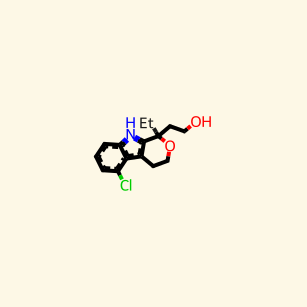 CCC1(CCO)OCCc2c1[nH]c1cccc(Cl)c21